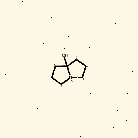 OC12CCCN1CCC2